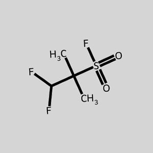 CC(C)(C(F)F)S(=O)(=O)F